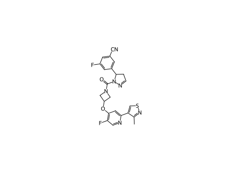 Cc1nscc1-c1cc(OC2CN(C(=O)N3N=CCC3c3cc(F)cc(C#N)c3)C2)c(F)cn1